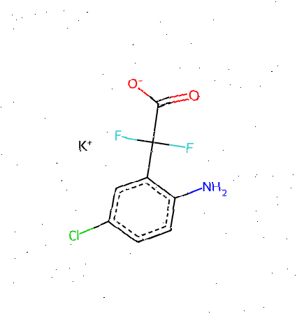 Nc1ccc(Cl)cc1C(F)(F)C(=O)[O-].[K+]